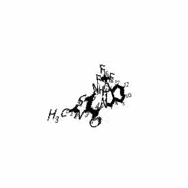 Cc1nc(C(=O)NCc2ccccc2OC(F)(F)F)c(N)s1